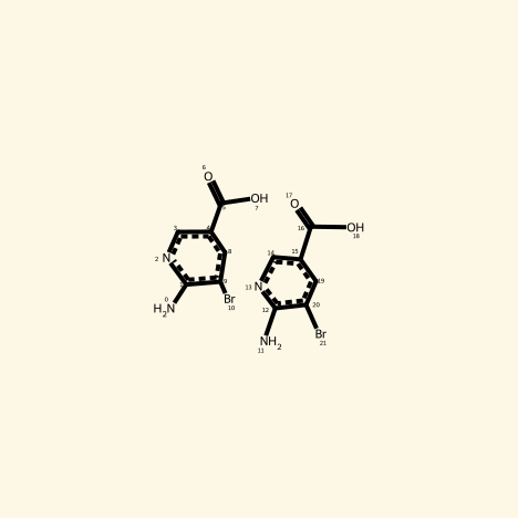 Nc1ncc(C(=O)O)cc1Br.Nc1ncc(C(=O)O)cc1Br